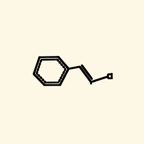 Cl/[C]=C/c1ccccc1